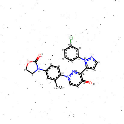 COc1cc(N2CCOC2=O)ccc1-n1ccc(=O)c(-c2ccnn2-c2cccc(Cl)c2)n1